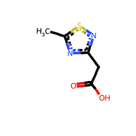 Cc1nc(CC(=O)O)ns1